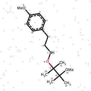 COc1ccc(CCBOC(C)(C)C(C)(C)OC)cc1